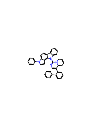 C1=CCN2C(=C1)C(c1ccccc1-c1ccccc1)=CN=C2n1c2ccccc2c2ccc3c(ccn3-c3ccccc3)c21